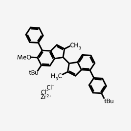 COc1c(C(C)(C)C)cc2c(c1-c1ccccc1)C=C(C)C2C1C(C)=Cc2c(-c3ccc(C(C)(C)C)cc3)cccc21.[Cl-].[Cl-].[Zr+2]